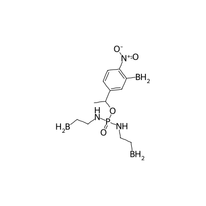 BCCNP(=O)(NCCB)OC(C)c1ccc([N+](=O)[O-])c(B)c1